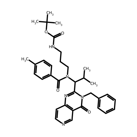 Cc1ccc(C(=O)N(CCCNC(=O)OC(C)(C)C)C(c2nc3ccncc3c(=O)n2Cc2ccccc2)C(C)C)cc1